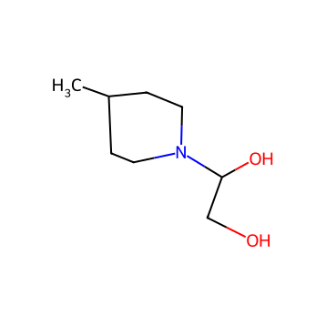 CC1CCN(C(O)CO)CC1